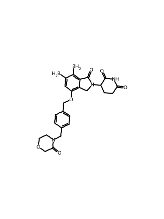 Bc1cc(OCc2ccc(CN3CCOCC3=O)cc2)c2c(c1B)C(=O)N(C1CCC(=O)NC1=O)C2